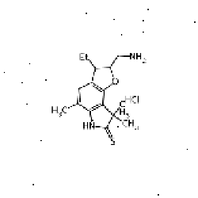 CCC1c2cc(C)c3c(c2OC1CN)C(C)(C)C(=S)N3.Cl